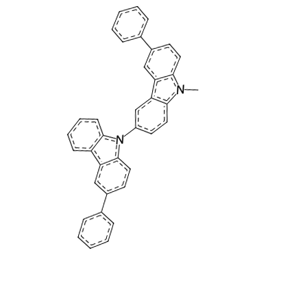 Cn1c2ccc(-c3ccccc3)cc2c2cc(-n3c4ccccc4c4cc(-c5ccccc5)ccc43)ccc21